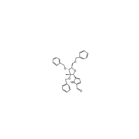 C[C@@]1(OCc2ccccc2)[C@H](OCc2ccccc2)[C@@H](COCc2ccccc2)O[C@H]1c1ccc(C=O)[nH]1